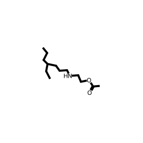 CCCC(CC)CCCNCCOC(C)=O